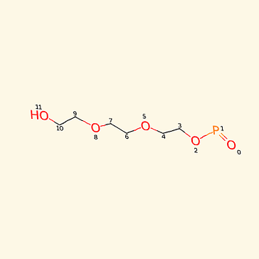 O=POCCOCCOCCO